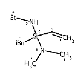 C=C[Si](NCC)(C(C)CC)N(C)C